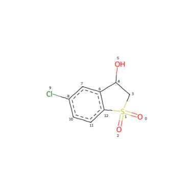 O=S1(=O)CC(O)c2cc(Cl)ccc21